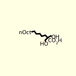 CCCCCCCCCCCCCC(CO)(CO)C(=O)O